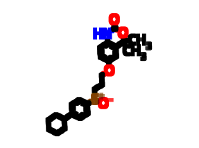 CC1(C)OC(=O)Nc2ccc(OCCC[S+]([O-])c3ccc(C4CCCCC4)cc3)cc21